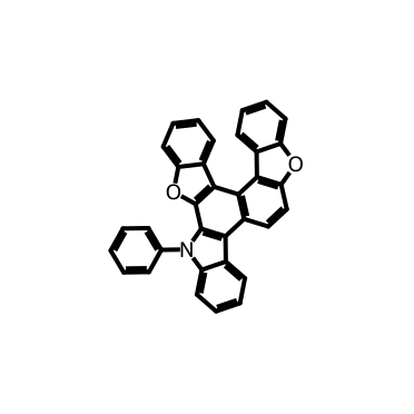 c1ccc(-n2c3ccccc3c3c4ccc5oc6ccccc6c5c4c4c5ccccc5oc4c32)cc1